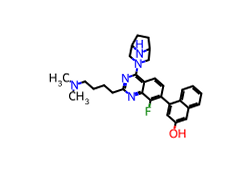 CN(C)CCCCc1nc(N2CC3CCC(C2)N3)c2ccc(-c3cc(O)cc4ccccc34)c(F)c2n1